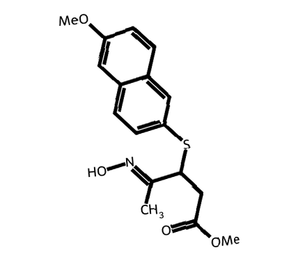 COC(=O)CC(Sc1ccc2cc(OC)ccc2c1)C(C)=NO